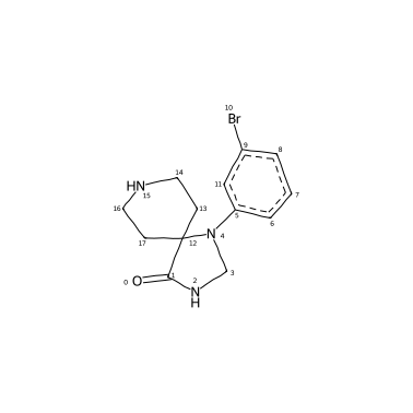 O=C1NCN(c2cccc(Br)c2)C12CCNCC2